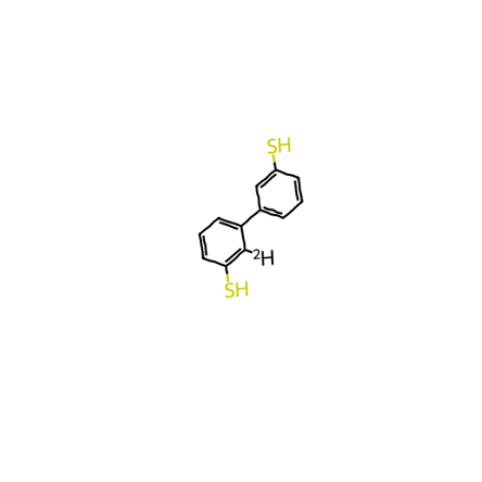 [2H]c1c(S)cccc1-c1cccc(S)c1